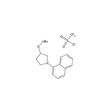 CCCCOC1CC[S+](c2cccc3ccccc23)C1.O=S(=O)([O-])C(F)(F)F